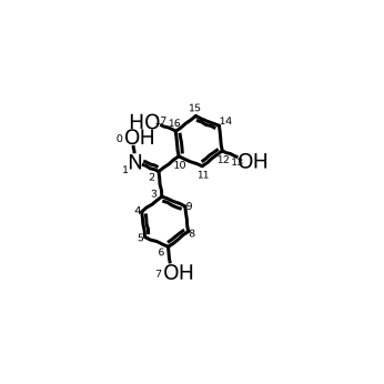 ON=C(c1ccc(O)cc1)c1cc(O)ccc1O